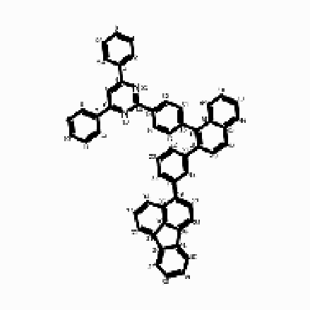 c1ccc(-c2cc(-c3ccccc3)nc(-c3ccc(-c4c(-c5cccc(-c6ccc7c8c(cccc68)-c6ccccc6-7)c5)ccc5ccccc45)cc3)n2)cc1